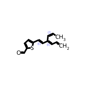 C=C/C=C(\C=C/C)/C=C/c1ccc(C=O)s1